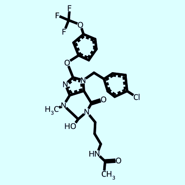 CC(=O)NCCCN1C(=O)c2c(nc(Oc3cccc(OC(F)(F)F)c3)n2Cc2ccc(Cl)cc2)N(C)C1O